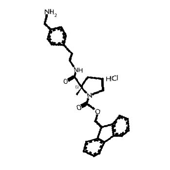 C[C@@]1(C(=O)NCCc2ccc(CN)cc2)CCCN1C(=O)OCC1c2ccccc2-c2ccccc21.Cl